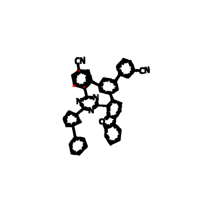 N#Cc1cccc(-c2cc(-c3cccc(C#N)c3)cc(-c3ccc4c(oc5ccccc54)c3-c3nc(-c4ccccc4)nc(-c4cccc(-c5ccccc5)c4)n3)c2)c1